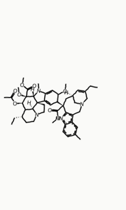 CCC1=C[C@H]2CN(C1)Cc1c([nH]c3ccc(C)cc13)[C@@](C(=O)OC)(C1C=C3C(=CC1OC)N(C)[C@@H]1[C@]34CCN3CC[C@H](CC)C([C@H]34)[C@@H](OC(C)=O)[C@]1(OC)C(=O)OC)C2